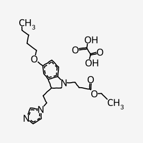 CCCCCOc1ccc2c(c1)C(CCn1ccnc1)CN2CCC(=O)OCC.O=C(O)C(=O)O